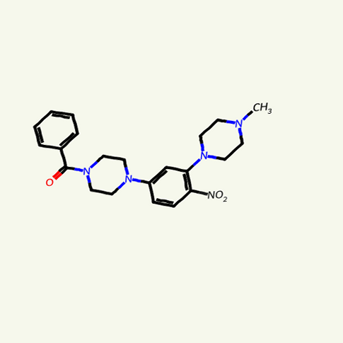 CN1CCN(c2cc(N3CCN(C(=O)c4ccccc4)CC3)ccc2[N+](=O)[O-])CC1